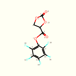 O=C1OCC(C(=O)Oc2c(F)c(F)c(F)c(F)c2F)O1